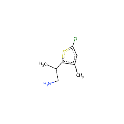 Cc1cc(Cl)sc1C(C)CN